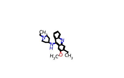 CCc1cc2nc3ccccc3c(NC3CCN(CC)CC3)c2cc1OC